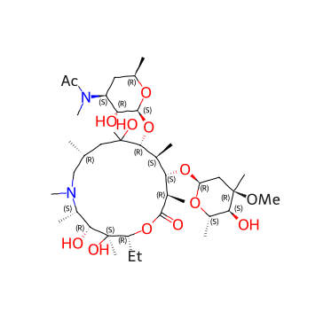 CC[C@H]1OC(=O)[C@H](C)[C@@H](O[C@H]2C[C@@](C)(OC)[C@@H](O)[C@H](C)O2)[C@H](C)[C@@H](O[C@@H]2O[C@H](C)C[C@H](N(C)C(C)=O)[C@H]2O)C(C)(O)C[C@@H](C)CN(C)[C@@H](C)[C@@H](O)[C@]1(C)O